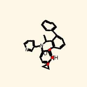 CC(c1c(C(=O)NC2CC2)cccc1-c1ccccc1)N(c1cccnc1)c1cccnc1